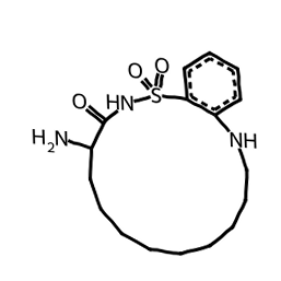 NC1CCCCCCCCCNc2ccccc2S(=O)(=O)NC1=O